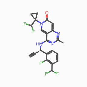 C#C[C@@H](Nc1nc(C)nc2cc(=O)n(C3(C(F)F)CC3)cc12)c1cccc(C(F)F)c1F